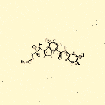 COCCS(=O)(=O)N[C@H]1CCc2c(C(=O)Nc3ccc(F)c(Cl)c3)ccc(F)c21